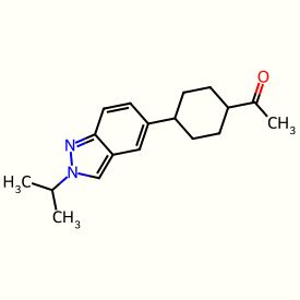 CC(=O)C1CCC(c2ccc3nn(C(C)C)cc3c2)CC1